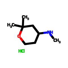 CNC1CCOC(C)(C)C1.Cl